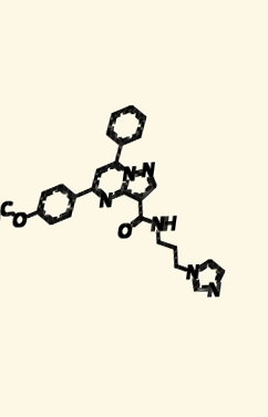 COc1ccc(-c2cc(-c3ccccc3)n3ncc(C(=O)NCCCn4ccnc4)c3n2)cc1